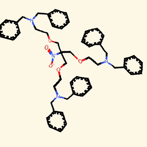 O=[N+]([O-])C(COCCN(Cc1ccccc1)Cc1ccccc1)(COCCN(Cc1ccccc1)Cc1ccccc1)COCCN(Cc1ccccc1)Cc1ccccc1